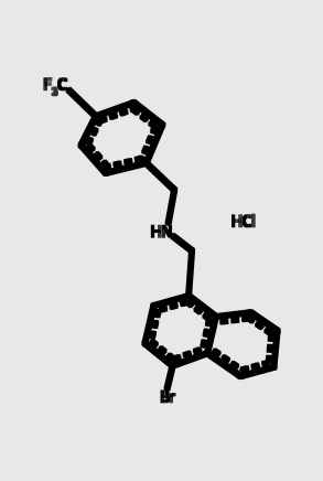 Cl.FC(F)(F)c1ccc(CNCc2ccc(Br)c3ccccc23)cc1